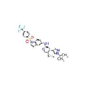 Cc1cnc(Nc2ccc3c(ccn3S(=O)(=O)c3ccc(C(F)(F)F)cc3)c2)cc1-c1cnn(C(C)C)c1